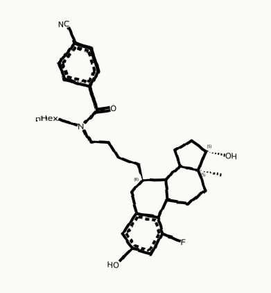 CCCCCCN(CCCC[C@@H]1Cc2cc(O)cc(F)c2C2CC[C@@]3(C)C(CC[C@@H]3O)C21)C(=O)c1ccc(C#N)cc1